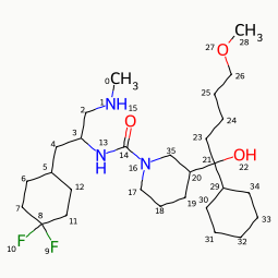 CNCC(CC1CCC(F)(F)CC1)NC(=O)N1CCCC(C(O)(CCCCOC)C2CCCCC2)C1